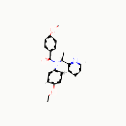 CCOc1ccc(N(C(=O)c2ccc(OC)cc2)C(C)c2ccccn2)cc1